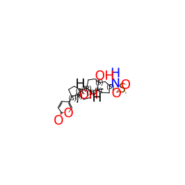 C[C@]12CC[C@H](NS(C)(=O)=O)C[C@@]1(O)CC[C@@H]1[C@@H]2CC[C@]2(C)[C@@H](c3ccc(=O)oc3)CC[C@]12O